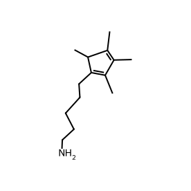 CC1=C(C)C(C)C(CCCCCN)=C1C